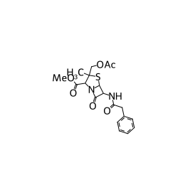 COC(=O)C1N2C(=O)C(NC(=O)Cc3ccccc3)C2SC1(C)COC(C)=O